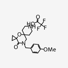 COc1ccc(CN2CC3(CCNCC3)OC3(CC3)C2=O)cc1.O=C(O)C(F)(F)F